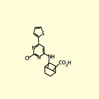 O=C(O)C1C2CCC(CC2)C1Nc1cc(-c2cccs2)nc(Cl)n1